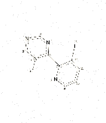 C[n+]1cncnc1-c1ncccc1I